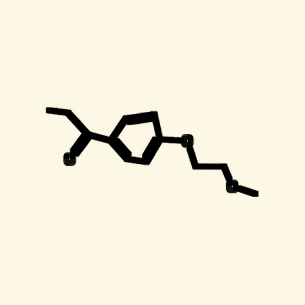 CCC(=O)c1ccc(OCCOC)cc1